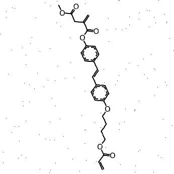 C=CC(=O)OCCCCOc1ccc(/C=C/c2ccc(OC(=O)C(=C)CC(=O)OC)cc2)cc1